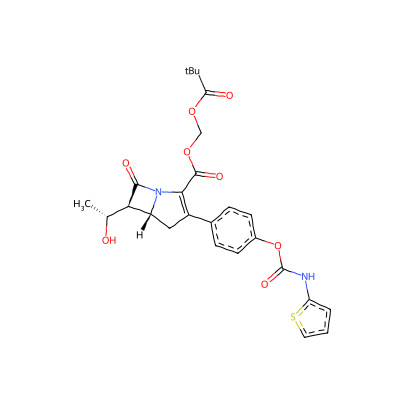 C[C@@H](O)[C@H]1C(=O)N2C(C(=O)OCOC(=O)C(C)(C)C)=C(c3ccc(OC(=O)Nc4cccs4)cc3)C[C@H]12